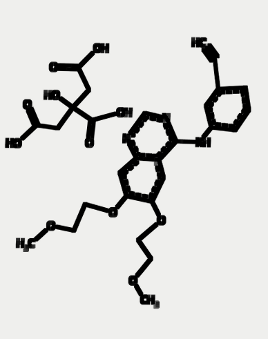 C#Cc1cccc(Nc2ncnc3cc(OCCOC)c(OCCOC)cc23)c1.O=C(O)CC(O)(CC(=O)O)C(=O)O